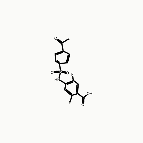 CC(=O)c1ccc(S(=O)(=O)Nc2cc(F)c(C(=O)O)cc2F)cc1